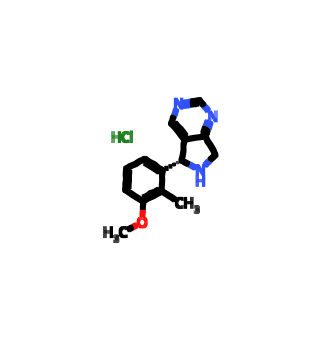 COc1cccc([C@H]2NCc3ncncc32)c1C.Cl